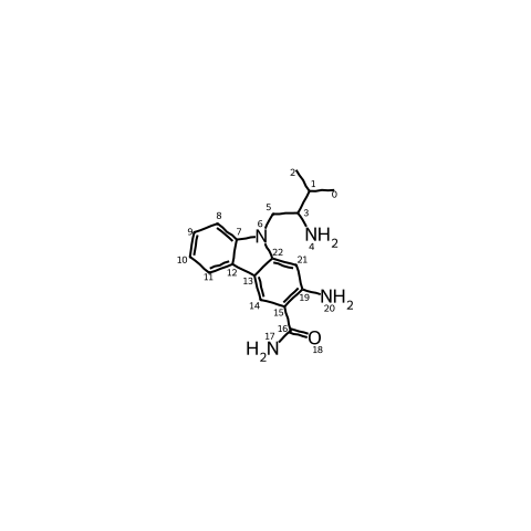 CC(C)C(N)Cn1c2ccccc2c2cc(C(N)=O)c(N)cc21